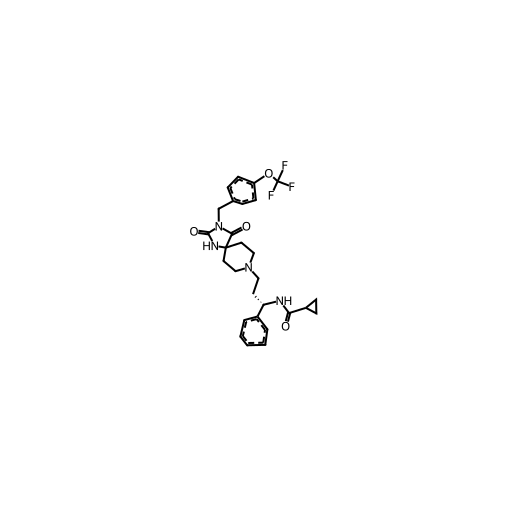 O=C(N[C@@H](CCN1CCC2(CC1)NC(=O)N(Cc1ccc(OC(F)(F)F)cc1)C2=O)c1ccccc1)C1CC1